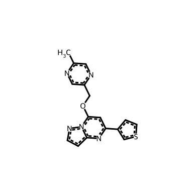 Cc1cnc(COc2cc(-c3ccsc3)nc3ccnn23)cn1